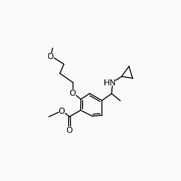 COCCCOc1cc(C(C)NC2CC2)ccc1C(=O)OC